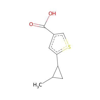 CC1CC1c1cc(C(=O)O)cs1